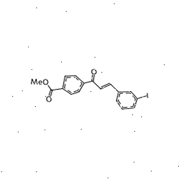 COC(=O)c1ccc(C(=O)C=Cc2cccc(I)c2)cc1